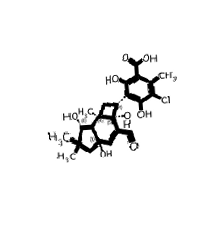 Cc1c(Cl)c(O)c([C@H]2C[C@]3(C)C4[C@@H](O)C(C)(C)C[C@@]4(O)C=C(C=O)[C@]23O)c(O)c1C(=O)O